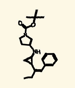 CCC(=Cc1ccccc1)C1CC1NC1CCN(C(=O)OC(C)(C)C)C1